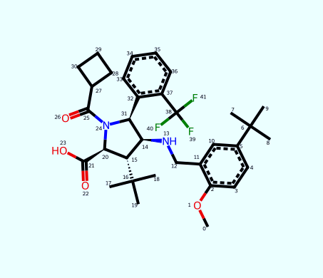 COc1ccc(C(C)(C)C)cc1CN[C@H]1[C@H](C(C)(C)C)[C@@H](C(=O)O)N(C(=O)C2CCC2)[C@H]1c1ccccc1C(F)(F)F